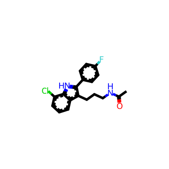 CC(=O)NCCCc1c(-c2ccc(F)cc2)[nH]c2c(Cl)cccc12